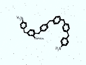 CCCCCCc1cc(Cc2ccc(N)cc2)ccc1Cc1ccc(Cc2ccc(Cc3ccc(Cc4ccc(N)cc4)cc3)cc2)cc1